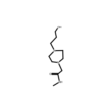 CNC(=O)CN1CCN(CCCO)CC1